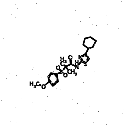 COc1ccc(S(=O)(=O)C(C)(C)C(=O)Nc2nc(C3CCCCC3)cs2)cc1